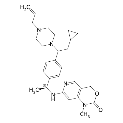 C=CCN1CCN(C(CC2CC2)c2ccc([C@H](C)Nc3cc4c(cn3)COC(=O)N4C)cc2)CC1